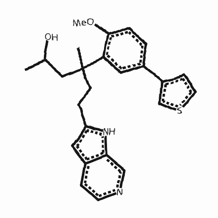 COc1ccc(-c2ccsc2)cc1C(C)(CCc1cc2ccncc2[nH]1)CC(C)O